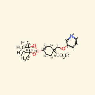 CCOC(=O)C1(COc2cccnc2)CC=C(B2OC(C)(C)C(C)(C)O2)CC1